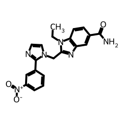 CCn1c(Cn2ccnc2-c2cccc([N+](=O)[O-])c2)nc2cc(C(N)=O)ccc21